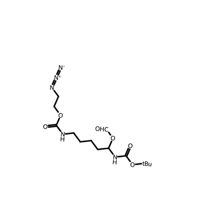 CC(C)(C)OC(=O)NC(CCCCNC(=O)OCCN=[N+]=[N-])OC=O